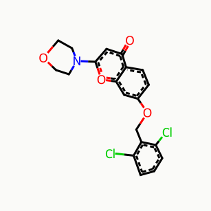 O=c1cc(N2CCOCC2)oc2cc(OCc3c(Cl)cccc3Cl)ccc12